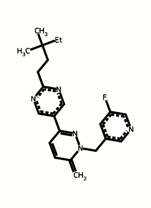 C=C1C=CC(c2cnc(CCC(C)(C)CC)nc2)=NN1Cc1cncc(F)c1